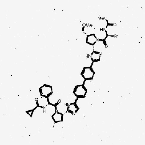 COC[C@H]1C[C@@H](c2ncc(-c3ccc(-c4ccc(-c5cnc([C@@H]6C[C@H](C)CN6C(=O)[C@H](NC(=O)C6CC6)c6ccccc6)[nH]5)cc4)cc3)[nH]2)N(C(=O)[C@@H](NC(=O)OC)C(C)C)C1